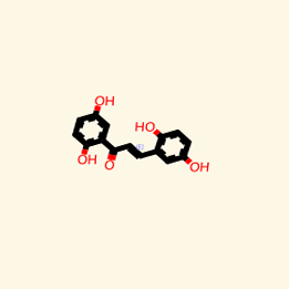 O=C(/C=C/c1cc(O)ccc1O)c1cc(O)ccc1O